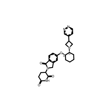 O=C1CCC(N2Cc3cc(O[C@@H]4CCCC[C@@H]4N4CC(c5ccnnc5)C4)ccc3C2=O)C(=O)N1